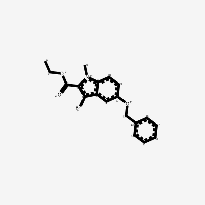 CCOC(=O)c1c(Br)c2cc(OCc3ccccc3)ccc2n1C